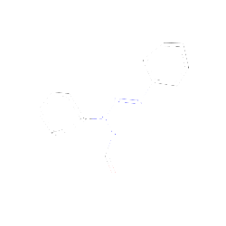 O=CNN(N=Nc1ccccc1)c1ccccc1